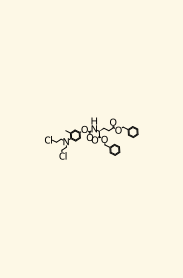 Cc1cc(OC(=O)N[C@@H](CCC(=O)OCc2ccccc2)C(=O)OCc2ccccc2)ccc1N(CCCl)CCCl